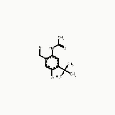 CC(=O)Nc1cc(C(C)(C)C)c(Br)cc1CBr